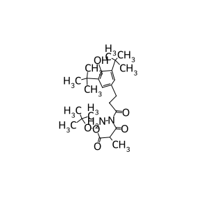 CC(C(=O)OOC(C)(C)C)C(=O)N(N)C(=O)CCc1cc(C(C)(C)C)c(O)c(C(C)(C)C)c1